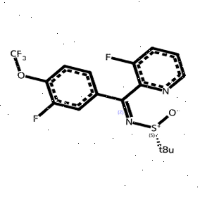 CC(C)(C)[S@@+]([O-])/N=C(/c1ccc(OC(F)(F)F)c(F)c1)c1ncccc1F